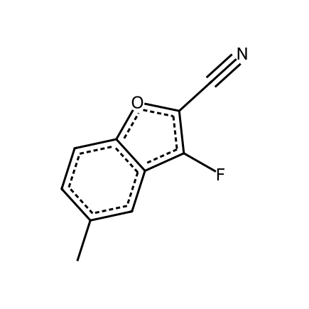 Cc1ccc2oc(C#N)c(F)c2c1